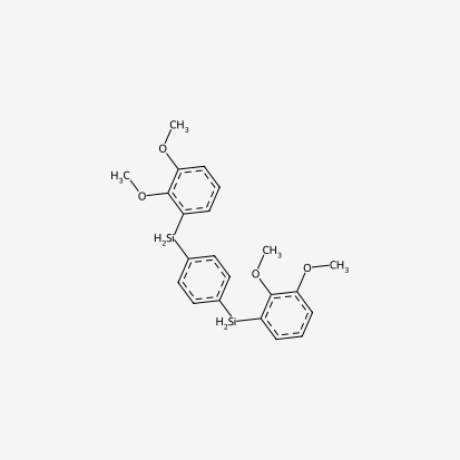 COc1cccc([SiH2]c2ccc([SiH2]c3cccc(OC)c3OC)cc2)c1OC